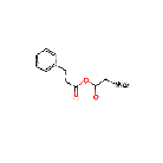 CCCCCCCCCCC(=O)OC(=O)CCc1ccccc1